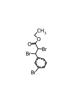 CCOC(=O)C(Br)C(Br)c1cccc(Br)c1